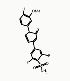 COc1cc(C2C=CC(c3cc(F)c(S(N)(=O)=O)c(F)c3)=CC2=S)ccc1Cl